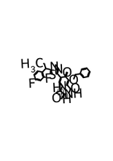 CCC(c1nnc(-c2cn3c(c(OCc4ccccc4)c2=O)C(=O)N[C@H]2COC[C@H]23)s1)c1ccc(F)cc1F